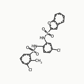 Cc1c(Cl)cccc1S(=O)(=O)Nc1ccc(Cl)cc1NS(=O)(=O)c1cc2ccccc2o1